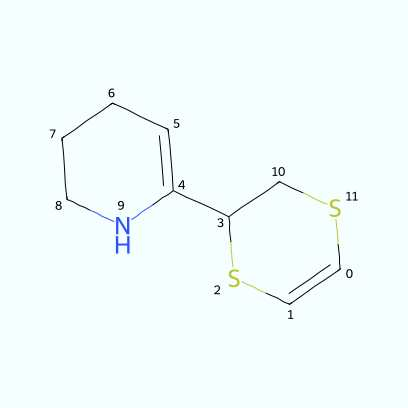 C1=CSC(C2=CCCCN2)CS1